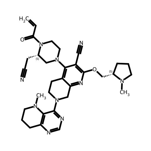 C=CC(=O)N1CCN(c2c(C#N)c(OC[C@@H]3CCCN3C)nc3c2CCN(c2ncnc4c2N(C)CCC4)C3)C[C@@H]1CC#N